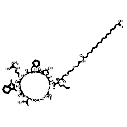 CCCC[C@H](NC(=O)COCCOCCNC(=O)CCCCCCCCCCCCCCC(=O)O)C(=O)N[C@H]1CCC(OC)NCCCCC(C(N)=O)NC(=O)[C@H](Cc2c[nH]c3ccccc23)NC(=O)[C@H](CCCNC(=N)N)NC(=O)[C@@H](Cc2ccccc2)NC(=O)[C@@H]2C[C@@H](O)CN2C1=O